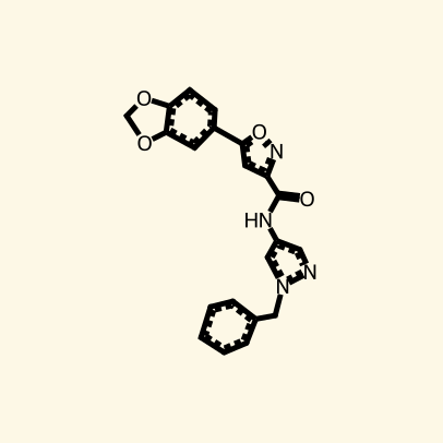 O=C(Nc1cnn(Cc2ccccc2)c1)c1cc(-c2ccc3c(c2)OCO3)on1